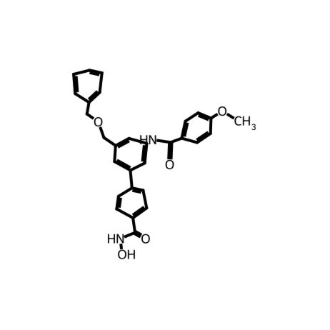 COc1ccc(C(=O)Nc2cc(COCc3ccccc3)cc(-c3ccc(C(=O)NO)cc3)c2)cc1